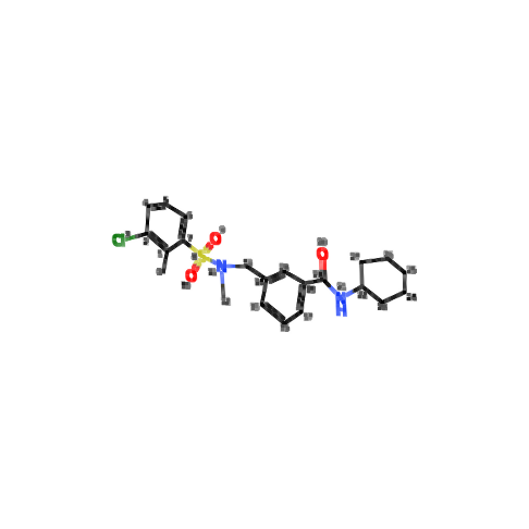 Cc1c(Cl)cccc1S(=O)(=O)N(C)Cc1cccc(C(=O)NC2CCCCC2)c1